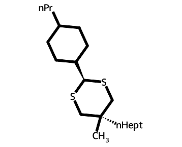 CCCCCCC[C@]1(C)CS[C@@H](C2CCC(CCC)CC2)SC1